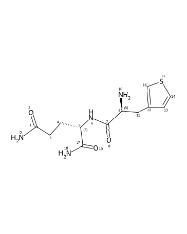 NC(=O)CC[C@H](NC(=O)[C@@H](N)Cc1ccsc1)C(N)=O